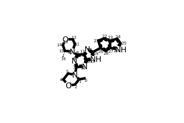 CC1COCCN1c1nc(N2CCOC[C@H]2C)c2nc(-c3ccc4cc[nH]c4c3)[nH]c2n1